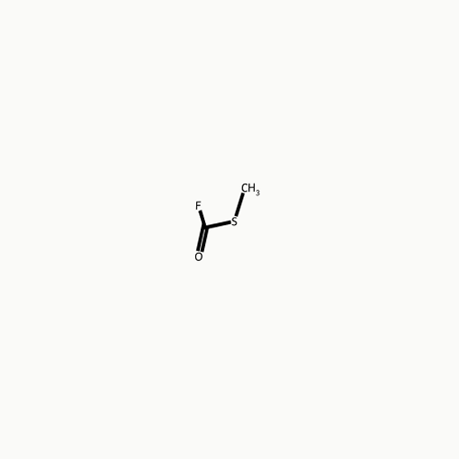 CSC(=O)F